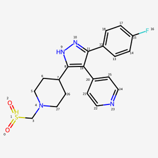 O=[SH](=O)CN1CCC(c2[nH]nc(-c3ccc(F)cc3)c2-c2ccncc2)CC1